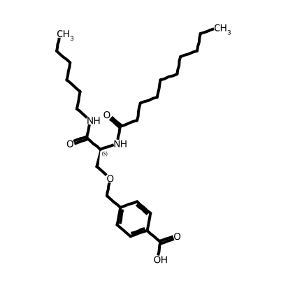 CCCCCCCCCC(=O)N[C@@H](COCc1ccc(C(=O)O)cc1)C(=O)NCCCCCC